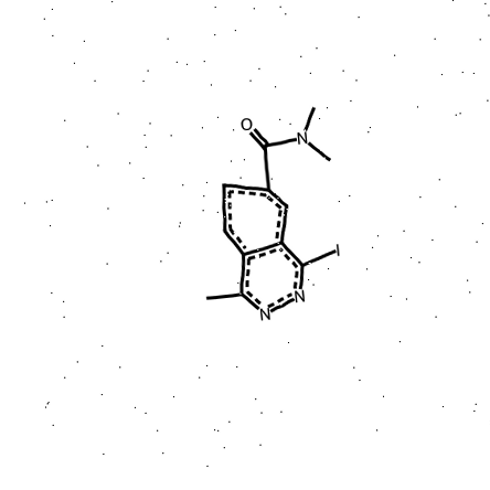 Cc1nnc(I)c2cc(C(=O)N(C)C)ccc12